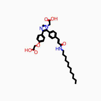 CCCCCCCCCCCCNC(=O)C=Cc1ccc(-c2c(-c3ccc(OCC(=O)O)cc3)ncn2CC(=O)O)cc1